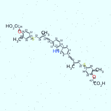 CC(C#Cc1ccc2c(c1)[nH]c1cc(C#CC(C)=CCSc3ccc(OCC(=O)O)c(C)c3)ccc12)=CCSc1ccc(OCC(=O)O)c(C)c1